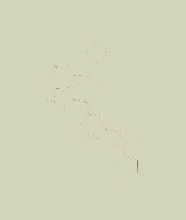 CN(c1ncnc2[nH]cc(C(=O)c3cccc(NS(=O)(=O)N4CCCC4)c3F)c12)[C@@H]1CCCO1